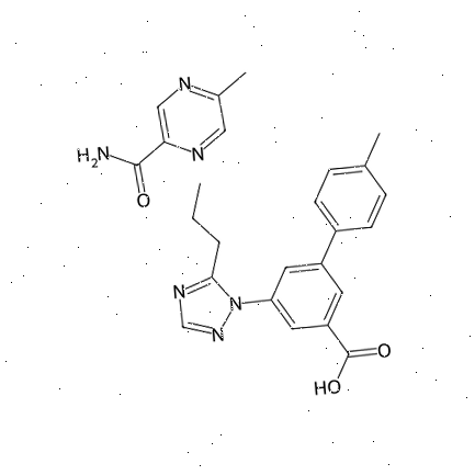 CCCc1ncnn1-c1cc(C(=O)O)cc(-c2ccc(C)cc2)c1.Cc1cnc(C(N)=O)cn1